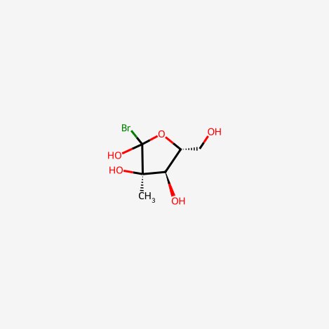 C[C@@]1(O)[C@H](O)[C@@H](CO)OC1(O)Br